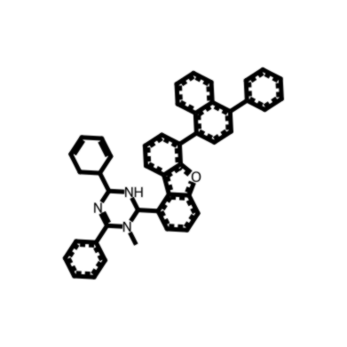 CN1C(c2ccccc2)=NC(C2C=CC=CC2)NC1c1cccc2oc3c(-c4ccc(-c5ccccc5)c5ccccc45)cccc3c12